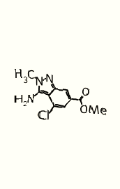 COC(=O)c1cc(Cl)c2c(N)n(C)nc2c1